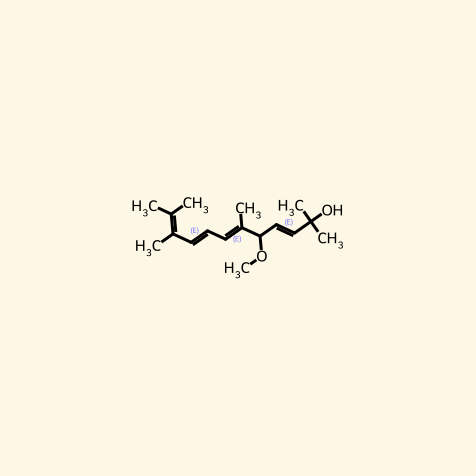 COC(/C=C/C(C)(C)O)/C(C)=C/C=C/C(C)=C(C)C